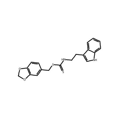 S=C(NCCc1c[nH]c2ccccc12)SCc1ccc2c(c1)OCO2